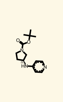 CC(C)(C)OC(=O)N1CC[C@H](Nc2ccncc2)C1